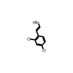 CCCCC=Cc1ccc(Cl)cc1Cl